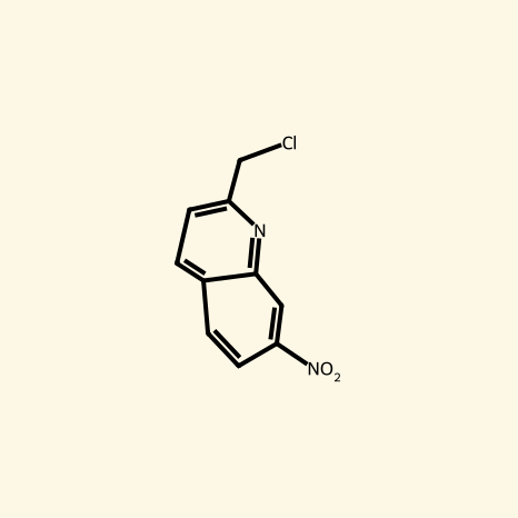 O=[N+]([O-])c1ccc2ccc(CCl)nc2c1